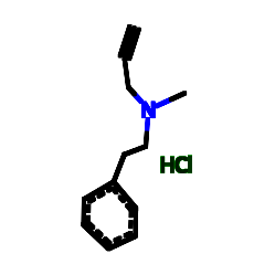 C#CCN(C)CCc1ccccc1.Cl